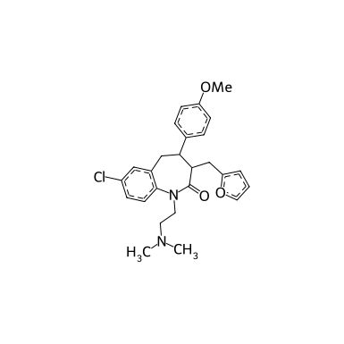 COc1ccc(C2Cc3cc(Cl)ccc3N(CCN(C)C)C(=O)C2Cc2ccco2)cc1